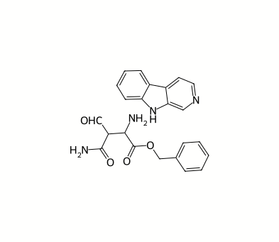 NC(=O)C(C=O)C(N)C(=O)OCc1ccccc1.c1ccc2c(c1)[nH]c1cnccc12